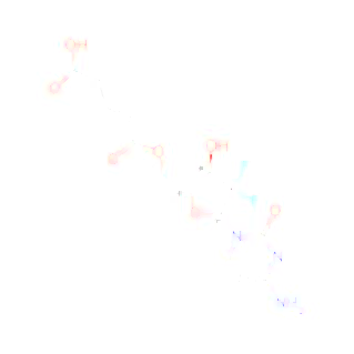 Nc1ccn([C@@H]2O[C@H](COC(=O)CCCC(=O)O)[C@@H](O)C2(F)F)c(=O)n1